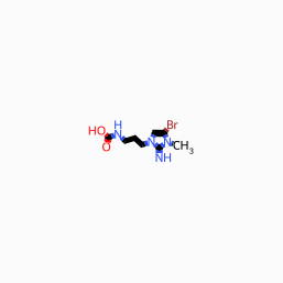 Cn1c(Br)cn(CCCNC(=O)O)c1=N